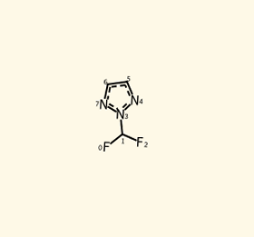 FC(F)n1nccn1